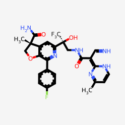 CC1=N/C(=C(/C=N)C(=O)NC[C@](O)(c2cc3c(c(-c4ccc(F)cc4)n2)OC[C@]3(C)C(N)=O)C(F)(F)F)NC=C1